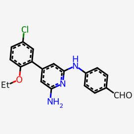 CCOc1ccc(Cl)cc1-c1cc(N)nc(Nc2ccc(C=O)cc2)c1